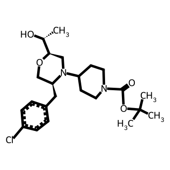 C[C@@H](O)[C@H]1CN(C2CCN(C(=O)OC(C)(C)C)CC2)[C@@H](Cc2ccc(Cl)cc2)CO1